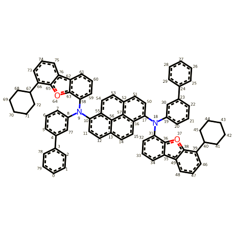 c1ccc(-c2cccc(N(c3ccc4ccc5c(N(c6cccc(-c7ccccc7)c6)c6cccc7c6oc6c(C8CCCCC8)cccc67)ccc6ccc3c4c65)c3cccc4c3oc3c(C5CCCCC5)cccc34)c2)cc1